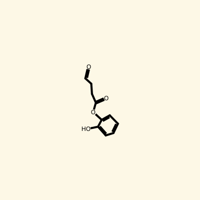 O=CCCC(=O)Oc1ccccc1O